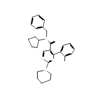 O=C(c1cnc(N2CCCCC2)nc1-c1ccccc1F)N(Cc1ccccc1)C1CCCC1